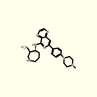 CN1CCN(c2ccc(-c3cc4nccnc4c(N[C@H]4CCCNCC4[SiH3])n3)cc2)CC1